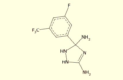 NC1=NC(N)(c2cc(F)cc(C(F)(F)F)c2)NN1